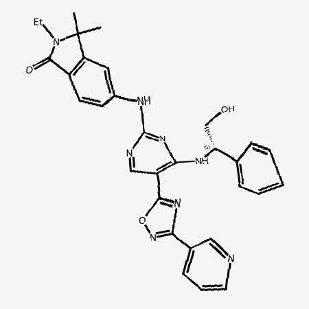 CCN1C(=O)c2ccc(Nc3ncc(-c4nc(-c5cccnc5)no4)c(N[C@H](CO)c4ccccc4)n3)cc2C1(C)C